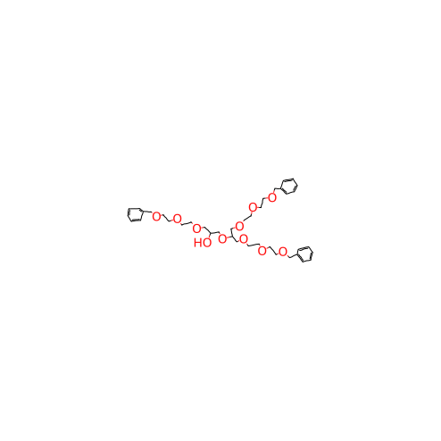 OC(COCCOCCOCc1ccccc1)COC(COCCOCCOCc1ccccc1)COCCOCCOCc1ccccc1